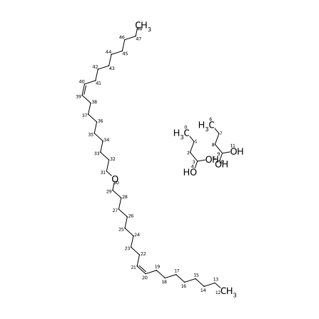 CCCC(O)O.CCCC(O)O.CCCCCCCC/C=C\CCCCCCCCOCCCCCCCC/C=C\CCCCCCCC